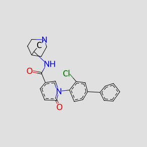 O=C(NC1CN2CCC1CC2)c1ccc(=O)n(-c2ccc(-c3ccccc3)cc2Cl)c1